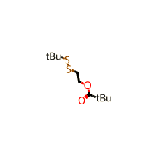 CC(C)(C)SSCCOC(=O)C(C)(C)C